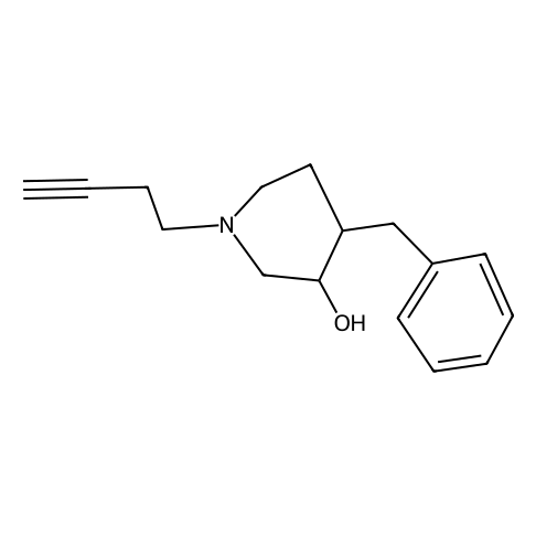 C#CCCN1CCC(Cc2ccccc2)C(O)C1